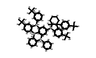 CC(C)(C)c1ccc(C23CCCCC2(C)N(c2cc4c5c(c2)N(c2cccc(C(C)(C)C)c2)c2cc(C(C)(C)C)ccc2B5c2ccccc2N4c2ccccc2)c2ccc(C(C)(C)C)cc23)cc1